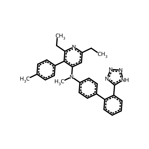 CCc1cc(N(C)c2ccc(-c3ccccc3-c3nnn[nH]3)cc2)c(-c2ccc(C)cc2)c(CC)n1